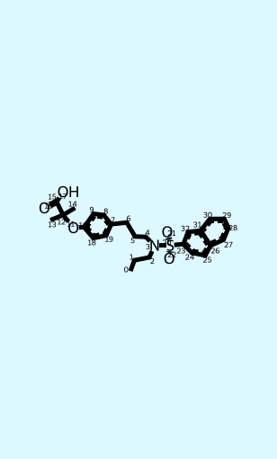 CCCN(CCCc1ccc(OC(C)(C)C(=O)O)cc1)S(=O)(=O)c1ccc2ccccc2c1